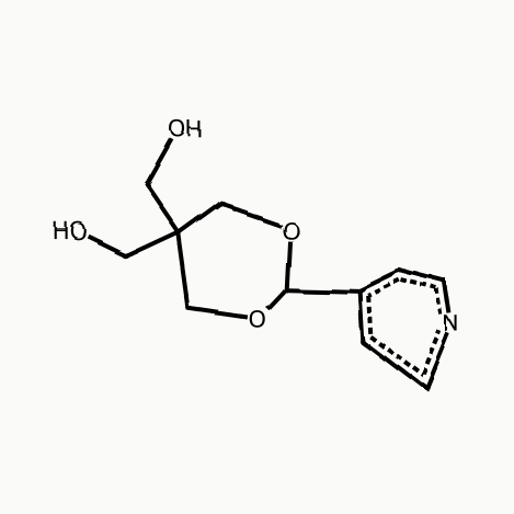 OCC1(CO)COC(c2ccncc2)OC1